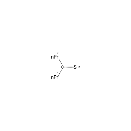 [CH2]CCC(=S)CCC